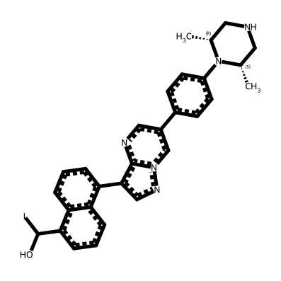 C[C@@H]1CNC[C@H](C)N1c1ccc(-c2cnc3c(-c4cccc5c(C(O)I)cccc45)cnn3c2)cc1